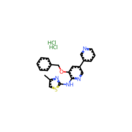 Cc1csc(Nc2ncc(-c3cccnc3)cc2OCc2ccccc2)n1.Cl.Cl